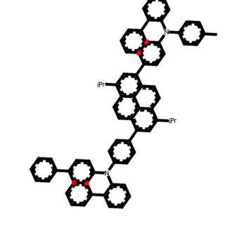 Cc1ccc(N(c2ccc(-c3cc(C(C)C)c4ccc5c(-c6ccc(N(c7ccc(-c8ccccc8)cc7)c7ccccc7-c7ccccc7)cc6)cc(C(C)C)c6ccc3c4c56)cc2)c2ccccc2-c2ccccc2)cc1